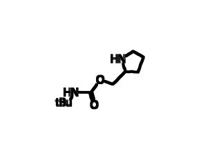 CC(C)(C)NC(=O)OCC1CCCN1